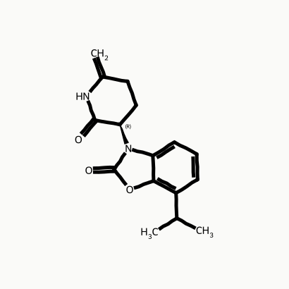 C=C1CC[C@@H](n2c(=O)oc3c(C(C)C)cccc32)C(=O)N1